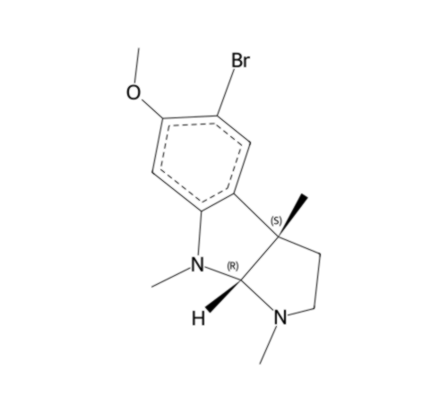 COc1cc2c(cc1Br)[C@]1(C)CCN(C)[C@@H]1N2C